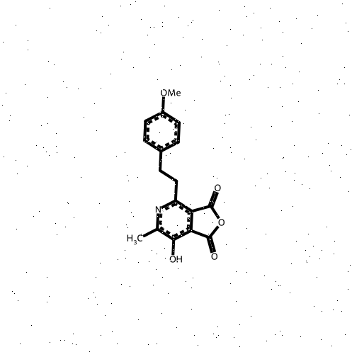 COc1ccc(CCc2nc(C)c(O)c3c2C(=O)OC3=O)cc1